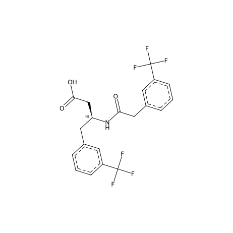 O=C(O)C[C@H](Cc1cccc(C(F)(F)F)c1)NC(=O)Cc1cccc(C(F)(F)F)c1